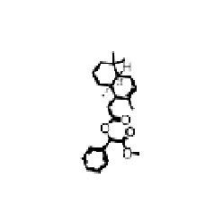 COC(=O)C(OC(=O)CC1C(C)=CC[C@H]2C(C)(C)CCC[C@]12C)c1ccccc1